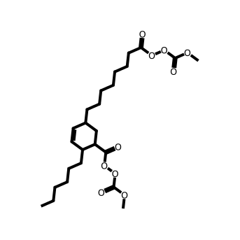 CCCCCCC1C=CC(CCCCCCCC(=O)OOC(=O)OC)CC1C(=O)OOC(=O)OC